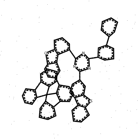 c1ccc(-c2cccc(-c3nc(-c4ccc5c(c4)sc4ccccc45)nc(-c4cccc5oc6ccc(-c7cccc8c7C7(c9ccccc9-c9ccccc97)c7ccccc7-8)cc6c45)n3)c2)cc1